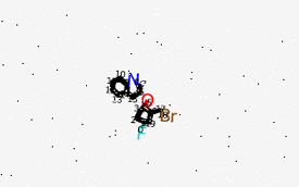 Fc1ccc(Oc2cnc3ccccc3c2)c(CBr)c1